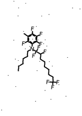 CCCCCCN(c1c(F)c(C)c(F)c(F)c1F)C(F)(F)C(F)CCCCCCC(F)(F)F